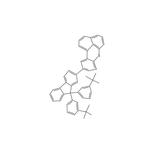 CC(C)(C)c1cccc(C2(c3cccc(C(C)(C)C)c3)c3ccccc3-c3ccc(-c4ccc5c(c4)-c4cccc6cccc(c46)S5)cc32)c1